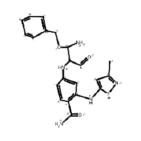 Cc1cc(Nc2cc(NC(C=O)C(N)OCc3ccccc3)ccc2C(N)=O)sn1